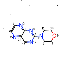 c1cnc2nc(N3CCOCC3)ncc2n1